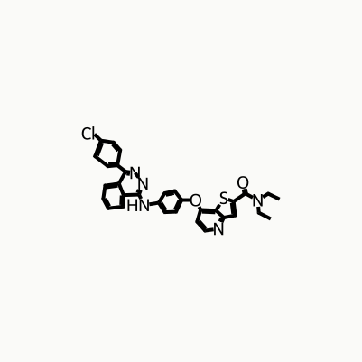 CCN(CC)C(=O)c1cc2nccc(Oc3ccc(Nc4nnc(-c5ccc(Cl)cc5)c5ccccc45)cc3)c2s1